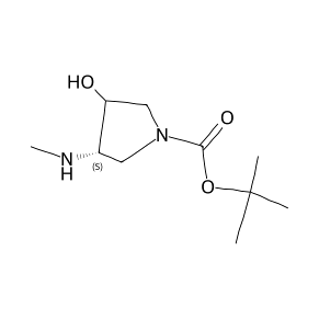 CN[C@H]1CN(C(=O)OC(C)(C)C)CC1O